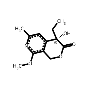 CC[C@@]1(O)C(=O)OCc2c1cc(C)nc2OC